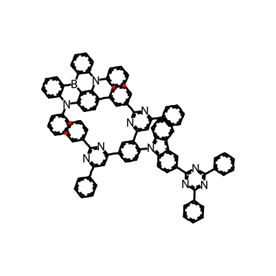 c1ccc(-c2cc(-c3ccc(-n4c5ccccc5c5cc(-c6nc(-c7ccccc7)nc(-c7ccccc7)n6)ccc54)c(-c4cc(-c5ccccc5)nc(-c5cccc(-c6ccc7c8c6N(c6ccccc6)c6ccccc6B8c6ccccc6N7c6ccccc6)c5)n4)c3)nc(-c3ccccc3)n2)cc1